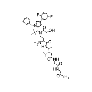 CC(C)C(CC(=O)NCC(=O)NCC(N)=O)C(C)NC(=O)[C@@H](N)CCN(C(=O)CO)[C@@H](c1cc(-c2cc(F)ccc2F)cn1Cc1ccccc1)C(C)(C)C